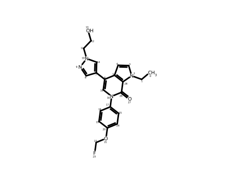 CCn1ccc2c(-c3cnn(CCO)c3)cn(-c3ccc(OCF)cc3)c(=O)c21